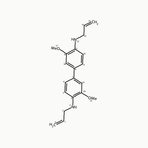 C=CCNc1ccc(-c2ccc(NCC=C)c(OC)c2)cc1OC